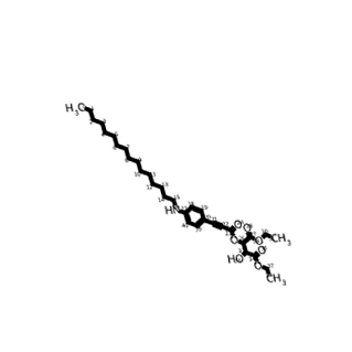 CCCCCCCCCCCCCCCCNc1ccc(C#CC(=O)OC(C(=O)OCC)C(O)C(=O)OCC)cc1